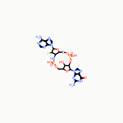 Nc1nc2c(ncn2C2OC3COP(=O)(O)NC4C(COP(=O)(O)OC2C3O)OC(n2cnc3c(N)ncnc32)C4F)c(=O)[nH]1